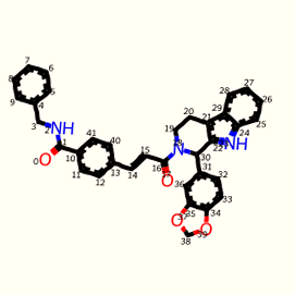 O=C(NCc1ccccc1)c1ccc(C=CC(=O)N2CCc3c([nH]c4ccccc34)C2c2ccc3c(c2)OCO3)cc1